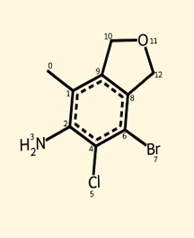 Cc1c(N)c(Cl)c(Br)c2c1COC2